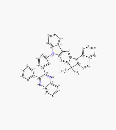 CC1(C)c2cc3c(cc2-c2c1ccc1ccccc21)c1ccccc1n3-c1cccc(-c2nc3ccccc3nc2-c2ccccc2)c1